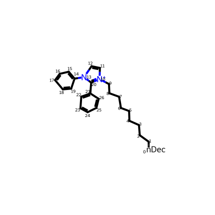 CCCCCCCCCCCCCCCCCCC[n+]1ccn(-c2ccccc2)c1-c1ccccc1